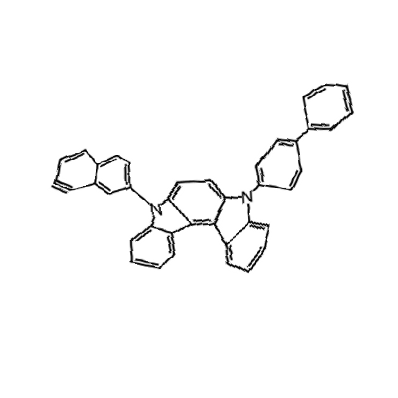 c1ccc2ccc(-n3c4ccccc4c4c5c6ccccc6n(-c6ccc(-c7ccccc7)cc6)c5ccc43)cc2c#1